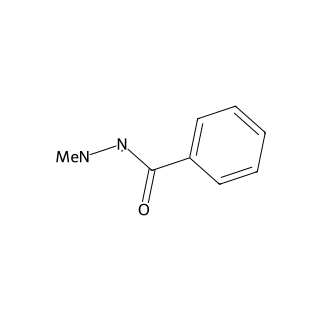 CN[N]C(=O)c1ccccc1